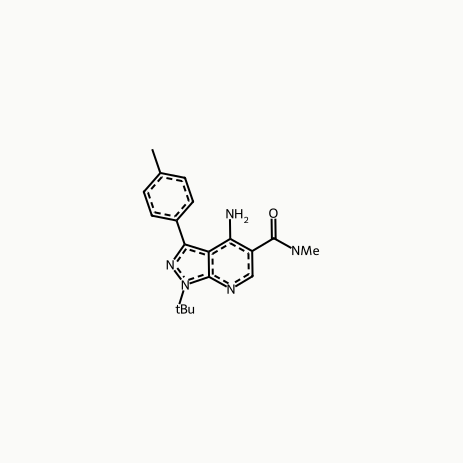 CNC(=O)c1cnc2c(c(-c3ccc(C)cc3)nn2C(C)(C)C)c1N